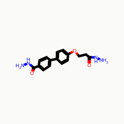 NNC(=O)CCOc1ccc(-c2ccc(C(=O)NN)cc2)cc1